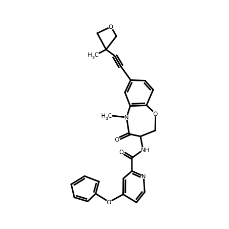 CN1C(=O)C(NC(=O)c2cc(Oc3ccccc3)ccn2)COc2ccc(C#CC3(C)COC3)cc21